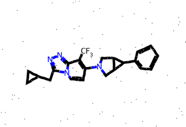 FC(F)(F)c1c(N2CC3C(C2)C3c2ccccc2)ccn2c(CC3CC3)nnc12